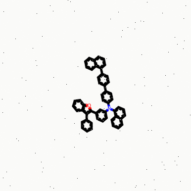 c1ccc(-c2c(-c3cccc(N(c4ccc(-c5ccc(-c6cccc7ccccc67)cc5)cc4)c4cccc5ccccc45)c3)oc3ccccc23)cc1